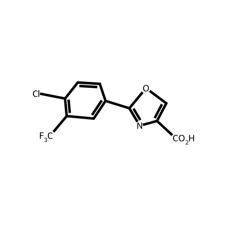 O=C(O)c1coc(-c2ccc(Cl)c(C(F)(F)F)c2)n1